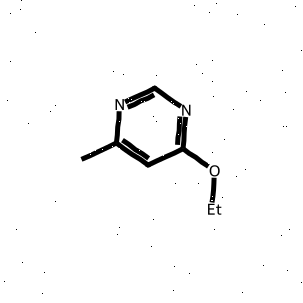 CCOc1cc(C)ncn1